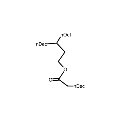 CCCCCCCCCCCC(=O)OCCC(CCCCCCCC)CCCCCCCCCC